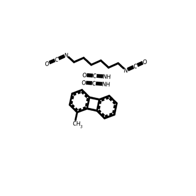 Cc1cccc2c1-c1ccccc1-2.N=C=O.N=C=O.O=C=NCCCCCCN=C=O